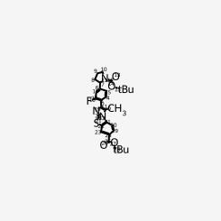 Cc1c(-c2ccc(C3CCCN3C(=O)OC(C)(C)C)cc2F)nc2sc3cc(C(=O)OC(C)(C)C)ccc3n12